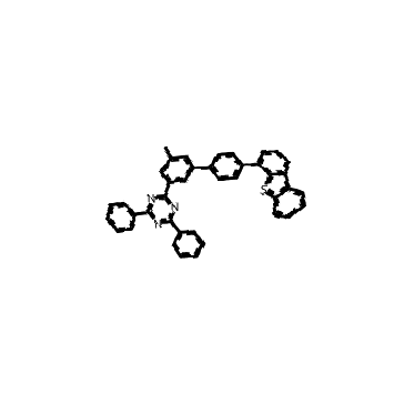 Cc1cc(-c2ccc(-c3cccc4c3sc3ccccc34)cc2)cc(-c2nc(-c3ccccc3)nc(-c3ccccc3)n2)c1